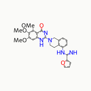 COc1cc2[nH]c(N3CCc4c(cccc4NC(=N)c4ccco4)C3)nc(=O)c2c(OC)c1OC